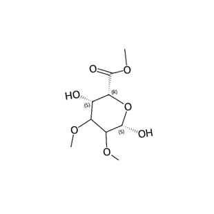 COC(=O)[C@@H]1O[C@H](O)C(OC)C(OC)[C@@H]1O